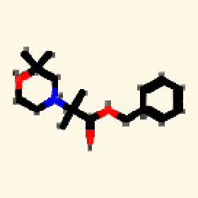 CC1(C)CN(C(C)(C)C(=O)OCc2ccccc2)CCO1